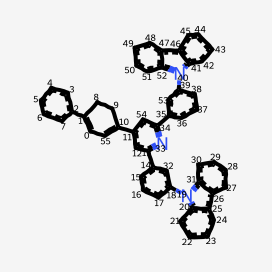 C1=C(c2ccccc2)CCC(c2cc(-c3cccc(-n4c5ccccc5c5ccccc54)c3)nc(-c3cccc(-n4c5ccccc5c5ccccc54)c3)c2)=C1